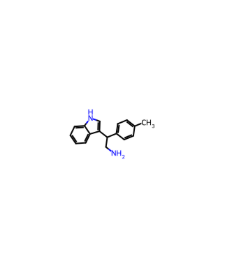 Cc1ccc(C(CN)c2c[nH]c3ccccc23)cc1